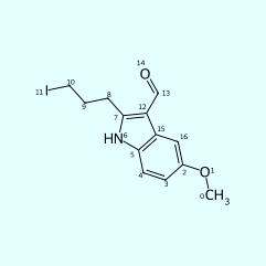 COc1ccc2[nH]c(CCCI)c(C=O)c2c1